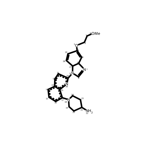 COCCOC1=CC2N=CN(c3ccc4cccc(N5CCC(N)CC5)c4n3)C2C=C1